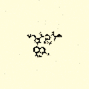 CCOC(=O)[C@@H]1C[C@@H](NC(=O)C(C)CC)CN1C(=O)c1nc(-c2ccc(OC)c3nc(C(F)(F)F)ccc23)oc1CN